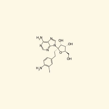 Nc1ccc(CC[C@@]2(n3cnc4c(N)ncnc43)O[C@H](CO)[C@@H](O)[C@H]2O)cc1I